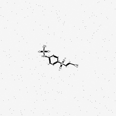 CCS(=O)(=O)Nc1ccc(S(=O)(=O)/C=C/C#N)cc1